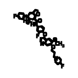 COc1cc2c(Oc3ccc(NC(=O)/C(C)=C4\OCC\C4=C\N(C=O)c4ccc(F)cc4)cc3F)ccnc2cc1OCCCN1CCC(F)CC1